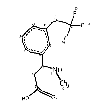 CNC(CC(=O)O)c1cccc(OC(F)(F)F)c1